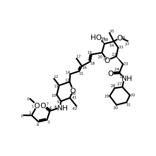 COC(C)/C=C\C(=O)NC1CC(C)C(C/C=C(C)/C=C/C2O[C@H](CC(=O)NC3CCCCC3)CC(C)(OC)[C@@H]2O)OC1C